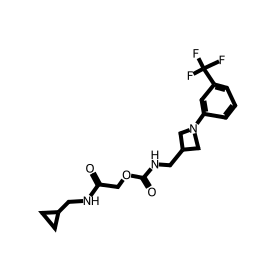 O=C(COC(=O)NCC1CN(c2cccc(C(F)(F)F)c2)C1)NCC1CC1